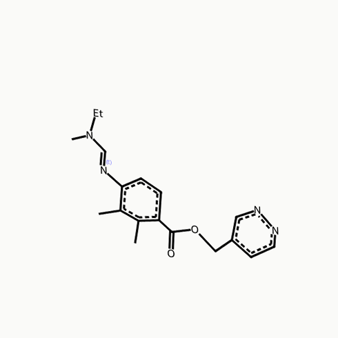 CCN(C)/C=N/c1ccc(C(=O)OCc2ccnnc2)c(C)c1C